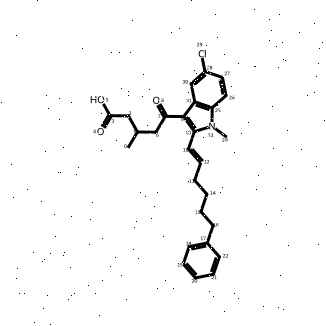 CC(CC(=O)O)CC(=O)c1c(C=CCCCCc2ccccc2)n(C)c2ccc(Cl)cc12